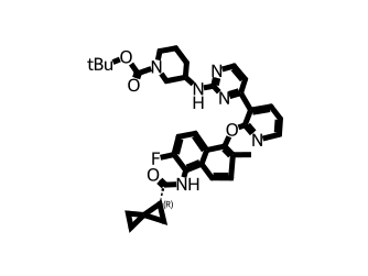 Cc1ccc2c(NC(=O)[C@@H]3CC34CC4)c(F)ccc2c1Oc1ncccc1-c1ccnc(NC2CCCN(C(=O)OC(C)(C)C)C2)n1